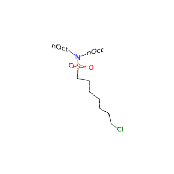 CCCCCCCCN(CCCCCCCC)S(=O)(=O)CCCCCCCCl